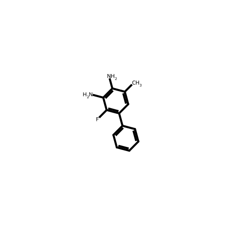 Cc1cc(-c2ccccc2)c(F)c(N)c1N